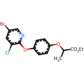 CCOC(=O)C(C)Oc1ccc(Oc2ncc(Br)cc2Cl)cc1